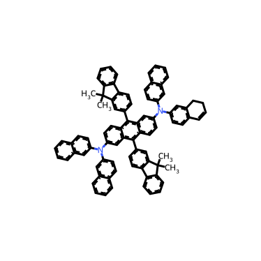 CC1(C)c2ccccc2-c2ccc(-c3c4ccc(N(c5ccc6ccccc6c5)c5ccc6ccccc6c5)cc4c(-c4ccc5c(c4)C(C)(C)c4ccccc4-5)c4ccc(N(c5ccc6c(c5)CCC=C6)c5ccc6ccccc6c5)cc34)cc21